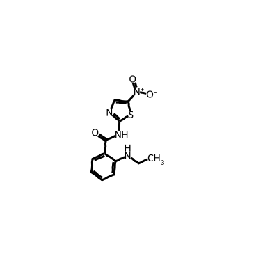 CCNc1ccccc1C(=O)Nc1ncc([N+](=O)[O-])s1